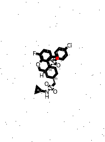 O=S(=O)(C[C@@H]1CC[C@@]2(S(=O)(=O)c3ccc(Cl)cc3)c3c(F)ccc(F)c3OC[C@H]2C1)NC1CC1